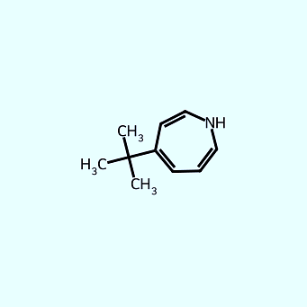 CC(C)(C)C1=CC=CNC=C1